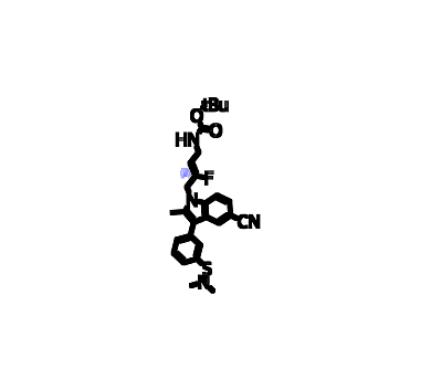 Cc1c(-c2cccc(SN(C)C)c2)c2cc(C#N)ccc2n1C/C(F)=C/CNC(=O)OC(C)(C)C